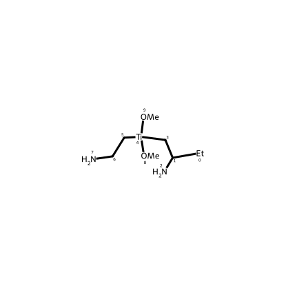 CCC(N)[CH2][Ti]([CH2]CN)([O]C)[O]C